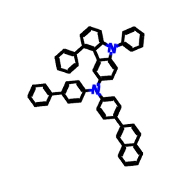 c1ccc(-c2ccc(N(c3ccc(-c4ccc5ccccc5c4)cc3)c3ccc4c(c3)c3c(-c5ccccc5)cccc3n4-c3ccccc3)cc2)cc1